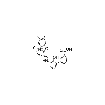 Cc1ccc([N+]2(Cl)N=CC(=NNc3cccc(-c4cccc(C(=O)O)c4)c3O)C2=O)cc1C